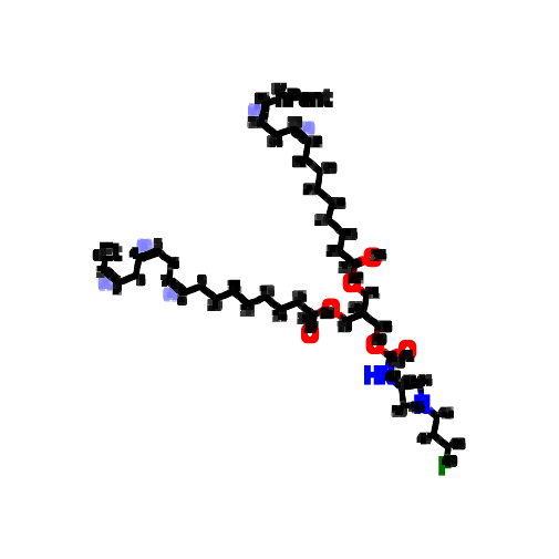 CC/C=C\C/C=C\C/C=C\CCCCCCCC(=O)OCC(COC(=O)CCCCCCC/C=C\C/C=C\CCCCC)COC(=O)NC1CN(CCCF)C1